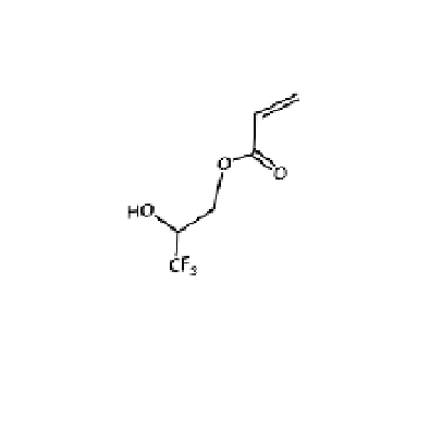 C=CC(=O)OCC(O)C(F)(F)F